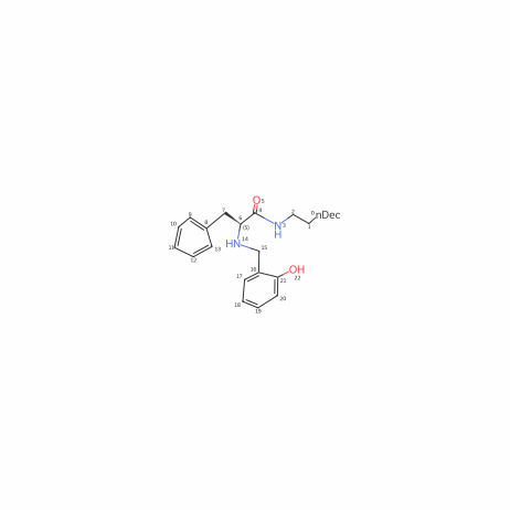 CCCCCCCCCCCCNC(=O)[C@H](Cc1ccccc1)NCc1ccccc1O